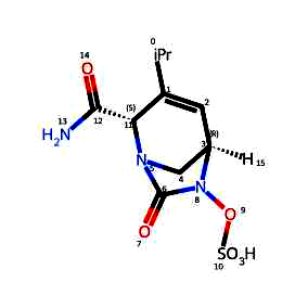 CC(C)C1=C[C@@H]2CN(C(=O)N2OS(=O)(=O)O)[C@@H]1C(N)=O